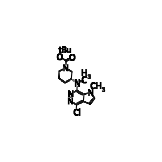 CN(c1nnc(Cl)c2ccn(C)c12)[C@@H]1CCCN(C(=O)OC(C)(C)C)C1